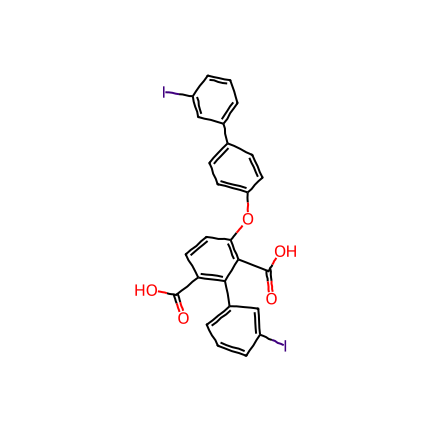 O=C(O)c1ccc(Oc2ccc(-c3cccc(I)c3)cc2)c(C(=O)O)c1-c1cccc(I)c1